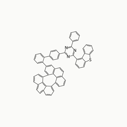 c1ccc(-c2nc(-c3ccc(-c4ccccc4-c4cc5ccc6cccc7c8cccc9ccc%10cccc(c(c4)c5c67)c%10c98)cc3)nc(-c3cccc4sc5ccccc5c34)n2)cc1